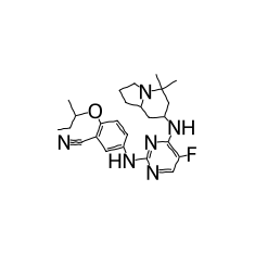 CCC(C)Oc1ccc(Nc2ncc(F)c(NC3CC4CCCN4C(C)(C)C3)n2)cc1C#N